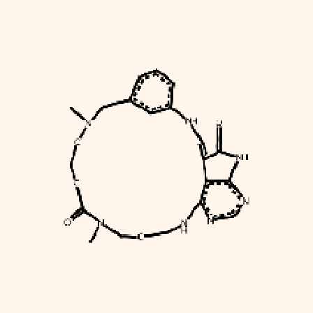 CN1CCCC(=O)N(C)CCCNc2ncnc3c2/C(=C/Nc2cccc(c2)C1)C(=O)N3